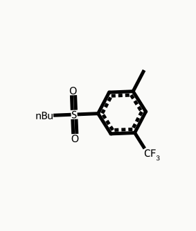 CCCCS(=O)(=O)c1cc(C)cc(C(F)(F)F)c1